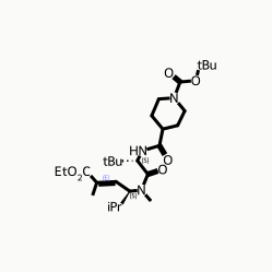 CCOC(=O)/C(C)=C/[C@H](C(C)C)N(C)C(=O)[C@@H](NC(=O)C1CCN(C(=O)OC(C)(C)C)CC1)C(C)(C)C